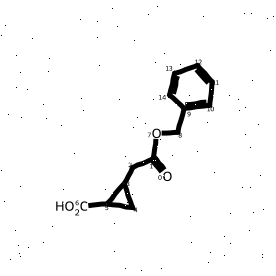 O=C(CC1CC1C(=O)O)OCc1ccccc1